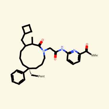 CCCC(C)C[C@]1(c2ccccc2)CCCC(CC2CCC2)C(C)C(=O)N(CC(=O)Nc2cccc(C(=O)NC)n2)CCC1